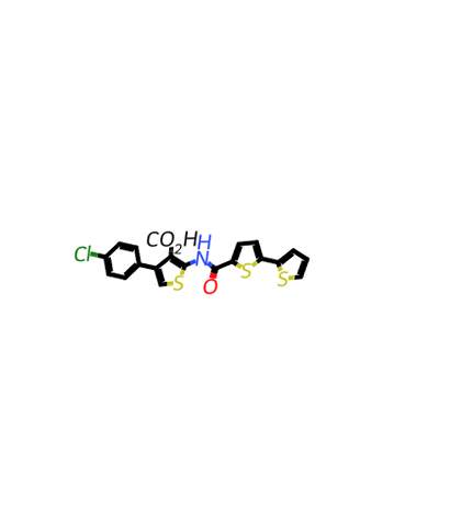 O=C(Nc1scc(-c2ccc(Cl)cc2)c1C(=O)O)c1ccc(-c2cccs2)s1